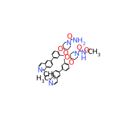 CONC(=O)N1CCC2(CC1)OCc1cc(-c3ccc4c(C)nccc4c3)ccc1O2.Cc1nccc2cc(-c3ccc4c(c3)COC3(CCN(C(N)=O)CC3)O4)ccc12